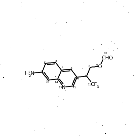 Nc1ccc2cc(C(COC=O)C(F)(F)F)cnc2c1